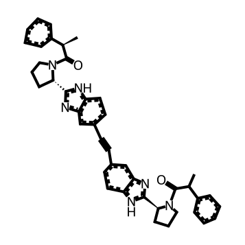 CC(C(=O)N1CCC[C@H]1c1nc2cc(C#Cc3ccc4[nH]c([C@@H]5CCCN5C(=O)[C@H](C)c5ccccc5)nc4c3)ccc2[nH]1)c1ccccc1